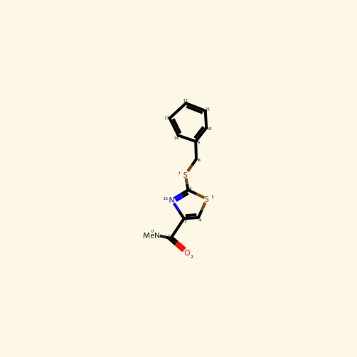 CNC(=O)c1[c]sc(SCc2ccccc2)n1